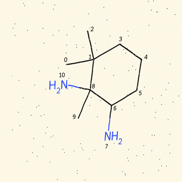 CC1(C)CCCC(N)C1(C)N